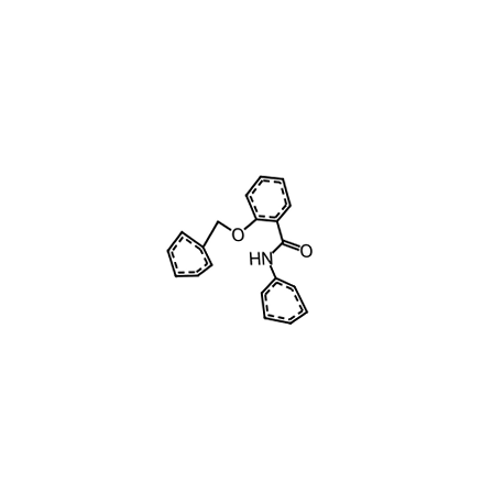 O=C(Nc1ccccc1)c1ccccc1OCc1ccccc1